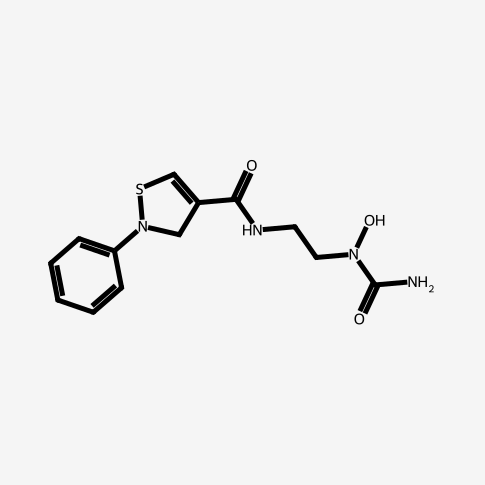 NC(=O)N(O)CCNC(=O)C1=CSN(c2ccccc2)C1